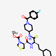 CC(C)(C)OC(=O)N1CSC[C@H]1C(=O)N[C@H](CCC1CCCCC1)C(=S)NC1CCN(C(=O)c2ccc(F)cc2)CC1